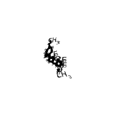 CCCC1CCC(c2ccc3c(c2F)Oc2c(cc(OCC)c(F)c2F)C3)CC1